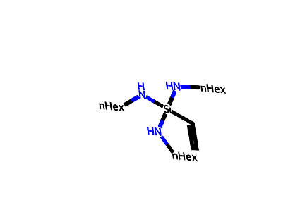 C=C[Si](NCCCCCC)(NCCCCCC)NCCCCCC